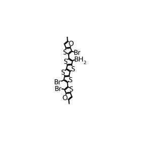 Bc1c(-c2sc3cc(C)oc3c2Br)sc2c1sc1c3sc(-c4sc5cc(C)oc5c4Br)c(Br)c3sc21